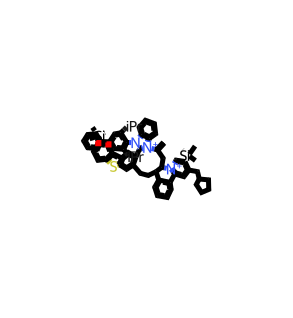 C=C1CC2C(CCc3cc4sc5ccc([Si](C)(C)C)cc5c4cc3-c3n(-c4c(C(C)C)cc(-c5ccccc5)cc4C(C)C)c4ccccc4[n+]31)c1ccccc1-c1cc(CC3CCCC3)c([Si](C)(C)C)c[n+]12